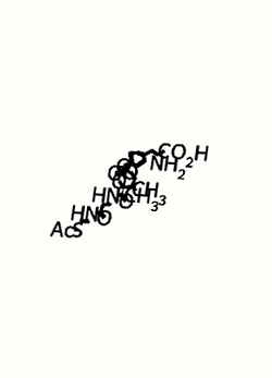 CC(=O)SCCNC(=O)CCNC(=O)[C@@H]1OP(=O)(Oc2ccc(CC(N)C(=O)O)cc2)OCC1(C)C